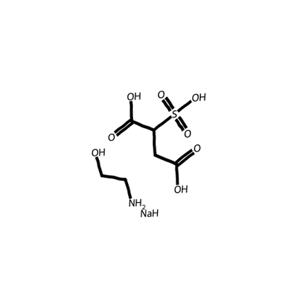 NCCO.O=C(O)CC(C(=O)O)S(=O)(=O)O.[NaH]